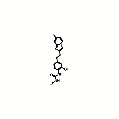 CCNC(=O)Nc1ccc(CCc2cn3ccc(C)cc3n2)cc1O